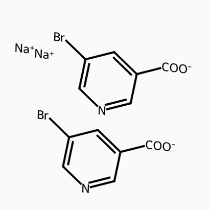 O=C([O-])c1cncc(Br)c1.O=C([O-])c1cncc(Br)c1.[Na+].[Na+]